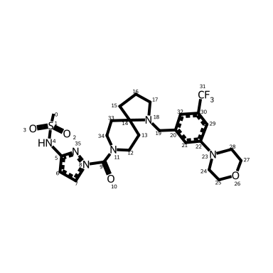 CS(=O)(=O)Nc1ccn(C(=O)N2CCC3(CCCN3Cc3cc(N4CCOCC4)cc(C(F)(F)F)c3)CC2)n1